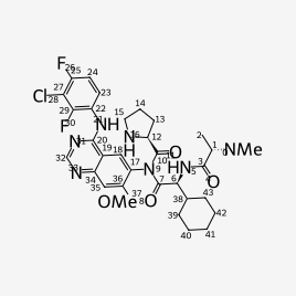 CN[C@@H](C)C(=O)N[C@H](C(=O)N(C(=O)[C@@H]1CCCN1)c1cc2c(Nc3ccc(F)c(Cl)c3F)ncnc2cc1OC)C1CCCCC1